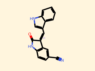 N#Cc1ccc2c(c1)/C(=C/c1c[nH]c3ccccc13)C(=O)N2